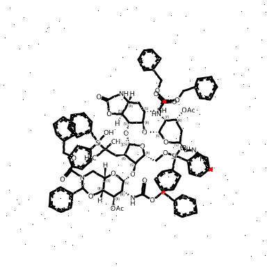 CC(=O)O[C@@H]1[C@@H](NC(=O)OCc2ccccc2)[C@@H](O[C@H]2[C@@H](CC(C)(C)[Si](O)(c3ccccc3)c3ccccc3)[C@H](O[C@@H]3[C@H]4OC(=O)N[C@@H]4C[C@H](NC(=O)OCc4ccccc4)[C@H]3O[C@H]3O[C@H](CN=[N+]=[N-])C[C@@H](OC(C)=O)[C@H]3NC(=O)OCc3ccccc3)O[C@@H]2CO[Si](c2ccccc2)(c2ccccc2)C(C)(C)C)O[C@H]2CN(C(=O)OCc3ccccc3)C(c3ccccc3)O[C@@H]12